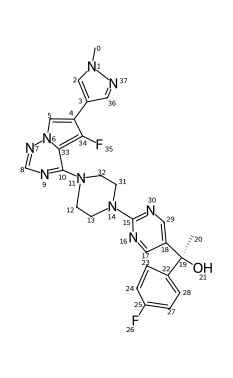 Cn1cc(-c2cn3ncnc(N4CCN(c5ncc([C@@](C)(O)c6ccc(F)cc6)cn5)CC4)c3c2F)cn1